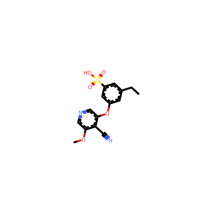 CCc1cc(Oc2cncc(OC)c2C#N)cc(S(=O)(=O)O)c1